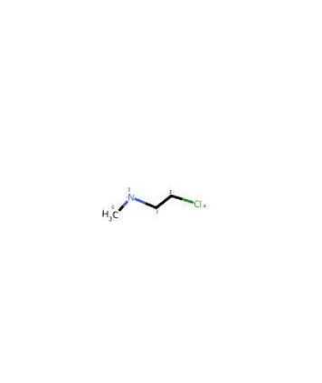 C[N]CCCl